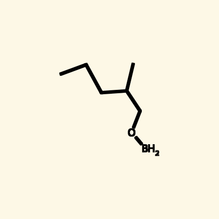 BOCC(C)CCC